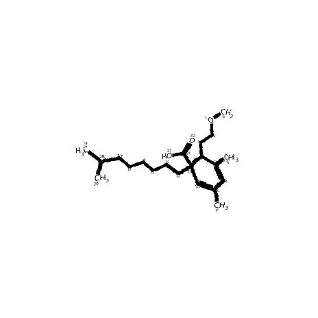 COCCC1C(C)=CC(C)=CC1(CCCCCCC(C)C)C(=O)O